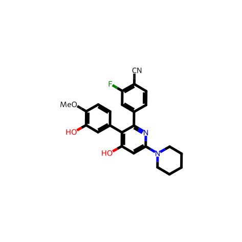 COc1ccc(-c2c(O)cc(N3CCCCC3)nc2-c2ccc(C#N)c(F)c2)cc1O